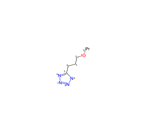 CC(C)OCCCC1=NN=N[N]1